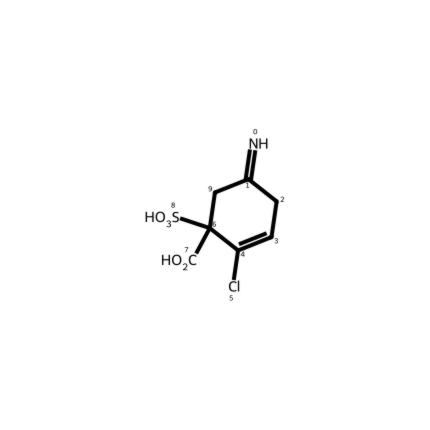 N=C1CC=C(Cl)C(C(=O)O)(S(=O)(=O)O)C1